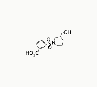 O=C(O)c1cccc(S(=O)(=O)N2CCCC(CO)C2)c1